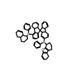 C1=CC2C3C=CC(N(c4ccccc4)C4CCCc5c4oc4c5CCC=C4)=CC3C3(c4cccc(N(c5ccccc5)C5CCCC6CCC=CC65)c4C4CCC=CC43)C2C=C1